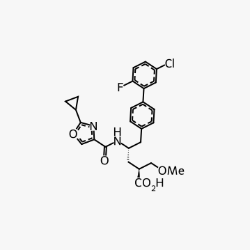 COC[C@H](C[C@@H](Cc1ccc(-c2cc(Cl)ccc2F)cc1)NC(=O)c1coc(C2CC2)n1)C(=O)O